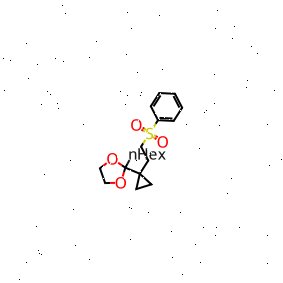 CCCCCCC1(C2(CCS(=O)(=O)c3ccccc3)CC2)OCCO1